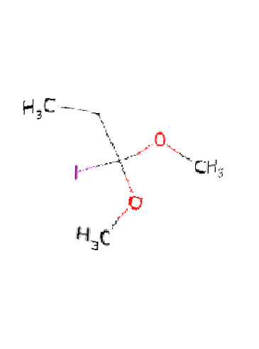 CCC(I)(OC)OC